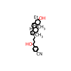 CC[C@]1(O)CC[C@@]2(C)C(=CC[C@H]3[C@@H]4CC[C@H](CCC[C@H](O)c5ccc(C#N)cc5)[C@@]4(C)CC[C@@H]32)C1